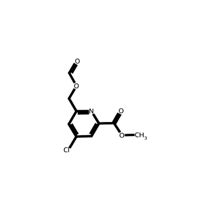 COC(=O)c1cc(Cl)cc(COC=O)n1